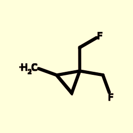 [CH2]C1CC1(CF)CF